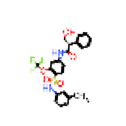 Cc1cccc(NS(=O)(=O)c2ccc(NC(=O)[C@@H](CO)c3ccccc3)cc2OC(F)(F)F)c1